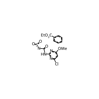 CCOC(=O)c1ccccc1.COc1cc(Cl)nc(NC(=O)N=S(=O)=O)n1